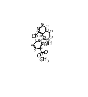 COC(=O)c1cccc2c1[nH]c1ccc3ccnc(Cl)c3c12